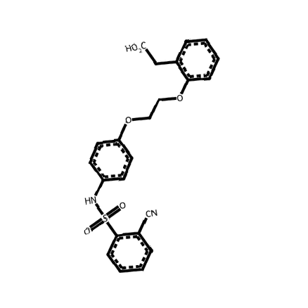 N#Cc1ccccc1S(=O)(=O)Nc1ccc(OCCOc2ccccc2CC(=O)O)cc1